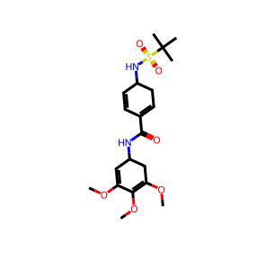 COC1=CC(NC(=O)C2=CCC(NS(=O)(=O)C(C)(C)C)C=C2)CC(OC)=C1OC